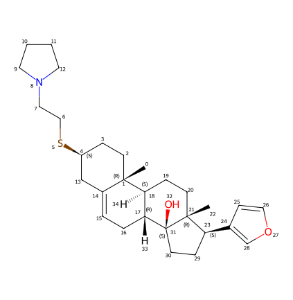 C[C@]12CC[C@H](SCCN3CCCC3)CC1=CC[C@@H]1[C@@H]2CC[C@]2(C)[C@@H](c3ccoc3)CC[C@]12O